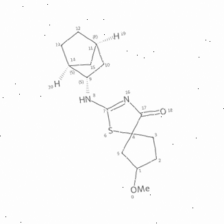 COC1CCC2(C1)SC(N[C@H]1C[C@@H]3CC[C@H]1C3)=NC2=O